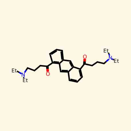 CCN(CC)CCCC(=O)c1cccc2cc3c(C(=O)CCCN(CC)CC)cccc3cc12